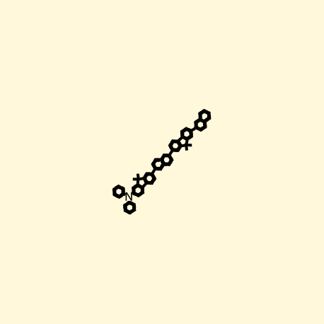 CC1(C)c2cc(-c3ccc4ccccc4c3)ccc2-c2ccc(-c3ccc4cc(-c5ccc6c(c5)C(C)(C)c5cc(N(c7ccccc7)c7ccccc7)ccc5-6)ccc4c3)cc21